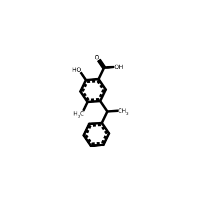 Cc1cc(O)c(C(=O)O)cc1C(C)c1ccccc1